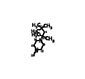 CC(C)(C)CC(C)(C)N1CCN(I)CC1